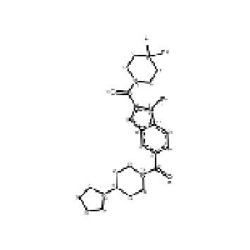 CC(C)n1c(C(=O)N2CCC(F)(F)CC2)cc2cc(C(=O)N3CCC(N4CCCC4)CC3)ccc21